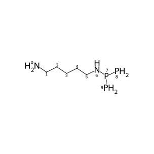 NCCCCCNP(P)P